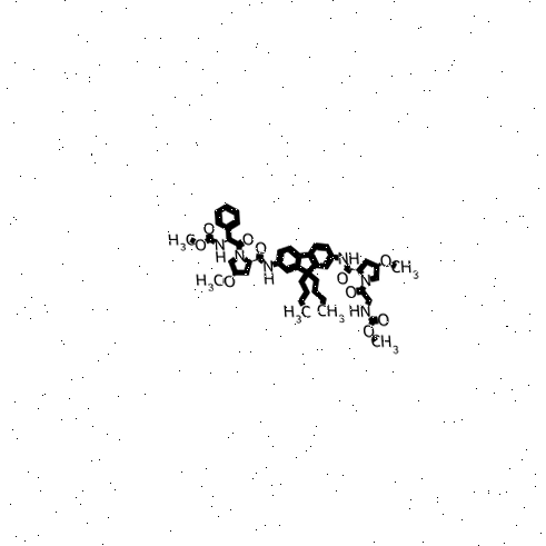 CCCCC1(CCCC)c2cc(NC(=O)[C@@H]3C[C@@H](OC)CN3C(=O)CNC(=O)OC)ccc2-c2ccc(NC(=O)[C@@H]3C[C@@H](OC)CN3C(=O)[C@H](NC(=O)OC)c3ccccc3)cc21